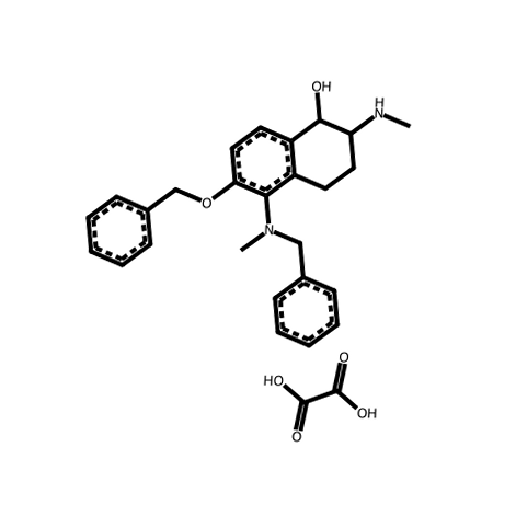 CNC1CCc2c(ccc(OCc3ccccc3)c2N(C)Cc2ccccc2)C1O.O=C(O)C(=O)O